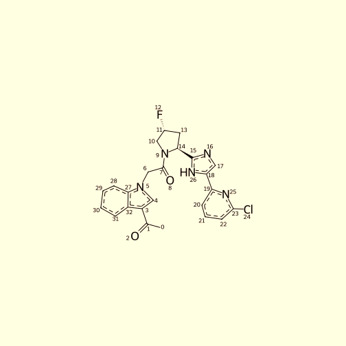 CC(=O)c1cn(CC(=O)N2C[C@H](F)C[C@H]2c2ncc(-c3cccc(Cl)n3)[nH]2)c2ccccc12